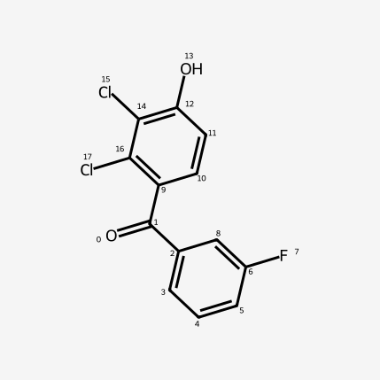 O=C(c1cccc(F)c1)c1ccc(O)c(Cl)c1Cl